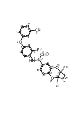 N#Cc1cc(Oc2ccc(NN(C=O)c3ccc4c(c3)OC(F)(F)C(F)(F)O4)c(F)c2)ccn1